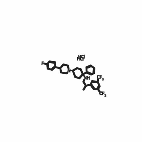 CC(CN[C@]1(c2ccccc2)CC[C@@H](N2CCC(c3ccc(F)cc3)CC2)CC1)c1cc(C(F)(F)F)cc(C(F)(F)F)c1.Cl.Cl